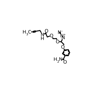 CC#CCNC(=O)COCCOC(COc1cccc(C(N)=O)c1)N=[N+]=[N-]